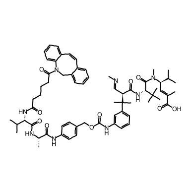 C/N=C/[C@@H](C(=O)N[C@H](C(=O)N(C)[C@H](/C=C(\C)C(=O)O)C(C)C)C(C)(C)C)C(C)(C)c1cccc(NC(=O)OCc2ccc(NC(=O)[C@H](C)NC(=O)[C@@H](NC(=O)CCCCC(=O)N3Cc4ccccc4/C=C\c4ccccc43)C(C)C)cc2)c1